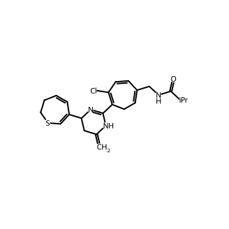 C=C1CC(C2=CSCCC=C2)N=C(C2=C(Cl)C=CC(CNC(=O)C(C)C)=CC2)N1